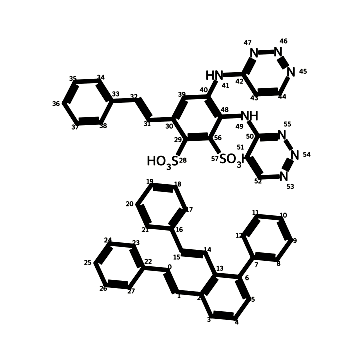 C(=Cc1cccc(-c2ccccc2)c1C=Cc1ccccc1)c1ccccc1.O=S(=O)(O)c1c(C=Cc2ccccc2)cc(Nc2ccnnn2)c(Nc2ccnnn2)c1S(=O)(=O)O